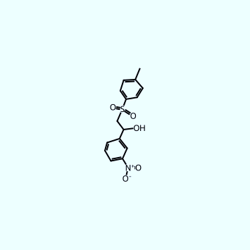 Cc1ccc(S(=O)(=O)CC(O)c2cccc([N+](=O)[O-])c2)cc1